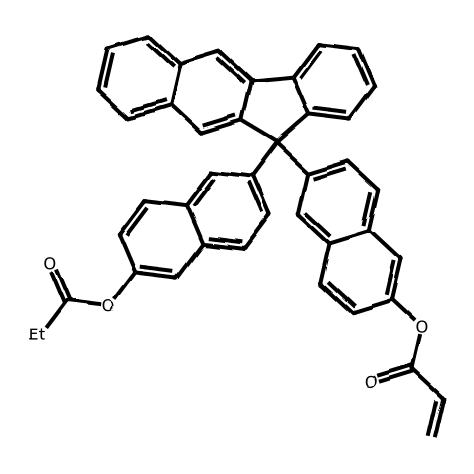 C=CC(=O)Oc1ccc2cc(C3(c4ccc5cc(OC(=O)CC)ccc5c4)c4ccccc4-c4cc5ccccc5cc43)ccc2c1